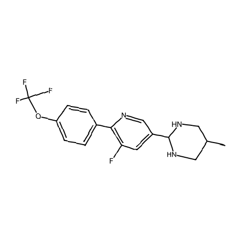 CC1CNC(c2cnc(-c3ccc(OC(F)(F)F)cc3)c(F)c2)NC1